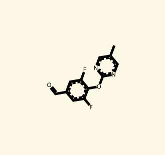 Cc1cnc(Oc2c(F)cc(C=O)cc2F)nc1